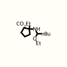 CCCCC(NC1(C(=O)OCC)CCCC1)OCC